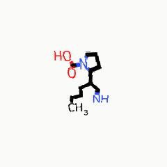 CCCCC(C=N)C1CCCN1C(=O)O